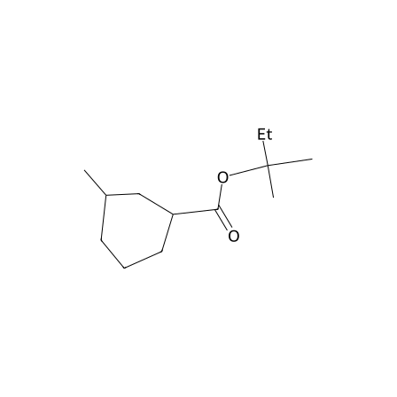 CCC(C)(C)OC(=O)C1CCCC(C)C1